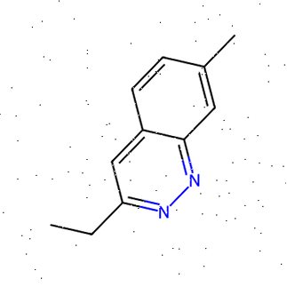 CCc1cc2ccc(C)cc2nn1